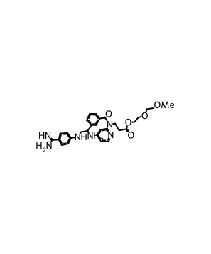 COCCOCCOC(=O)CCN(C(=O)c1cccc(C(N)CNc2ccc(C(=N)N)cc2)c1)c1ccccn1